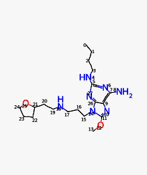 CCCCNc1nc(N)c2nc(OC)n(CCCNCCC3CCCO3)c2n1